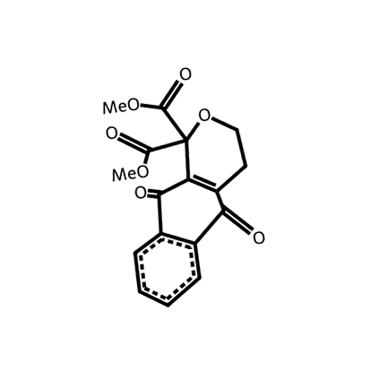 COC(=O)C1(C(=O)OC)OCCC2=C1C(=O)c1ccccc1C2=O